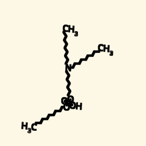 CCCCCCCCCCOP(=O)(O)OCCCCCCCN(CCCCCCCCCC)CCCCCCCCCC